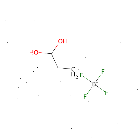 F[B-](F)(F)F.[CH2]CC(O)O